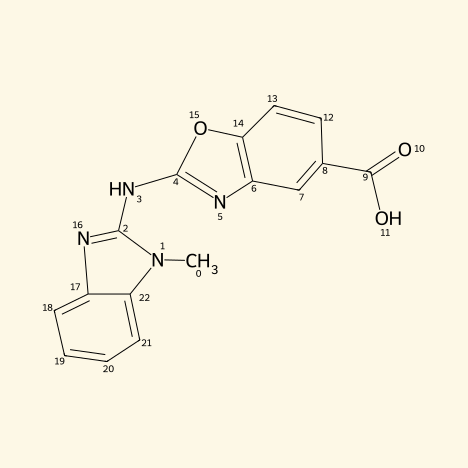 Cn1c(Nc2nc3cc(C(=O)O)ccc3o2)nc2ccccc21